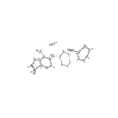 Cc1c(O[C@H]2CCC[C@@H](Nc3ccccc3)C2)ccc2[nH]ncc12.Cl